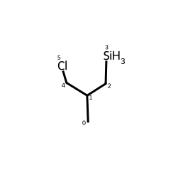 CC(C[SiH3])CCl